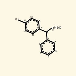 CCCCCCC(c1ccccc1)c1ccc(I)cc1